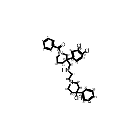 O=C(c1ccccc1)N1CCCC(CNCCN2CCC(O)(c3ccccc3)CC2)(c2ccc(Cl)c(Cl)c2)C1